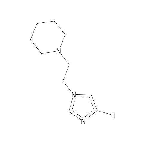 Ic1cn(CCN2CCCCC2)cn1